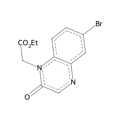 CCOC(=O)Cn1c(=O)cnc2cc(Br)ccc21